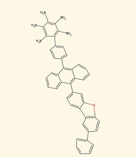 Bc1c(B)c(B)c(-c2ccc(-c3c4ccccc4c(-c4ccc5c(c4)oc4ccc(-c6ccccc6)cc45)c4ccccc34)cc2)c(B)c1B